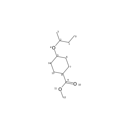 CCC(C)OC1CCC(C(=O)OC)CC1